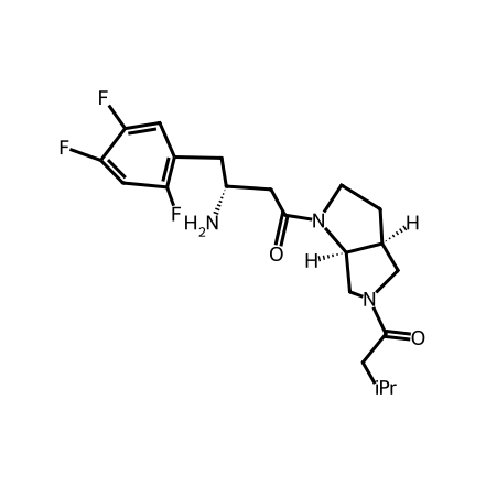 CC(C)CC(=O)N1C[C@@H]2CCN(C(=O)C[C@H](N)Cc3cc(F)c(F)cc3F)[C@@H]2C1